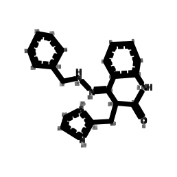 O=C1Nc2ccccc2C(=NNCc2ccccc2)C1Cc1nccs1